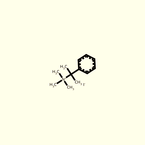 CC(C)(c1ccccc1)[N+](C)(C)C.[I-]